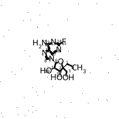 CC[C@]1(CO)O[C@@H](n2cnc3c(N)nc(F)nc32)[C@H](O)[C@@H]1O